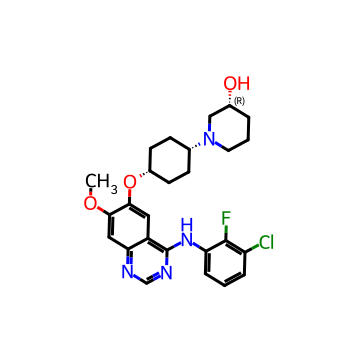 COc1cc2ncnc(Nc3cccc(Cl)c3F)c2cc1O[C@H]1CC[C@@H](N2CCC[C@@H](O)C2)CC1